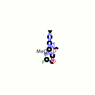 C=CC(=O)Nc1cc(Nc2cc(N3OCC[C@@H]3c3cc(F)cc(F)c3)ccn2)c(OC)cc1N1CCC(N2CCN(C3CC3)CC2)CC1